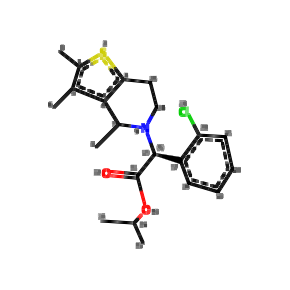 Cc1sc2c(c1C)C(C)N([C@H](C(=O)OC(C)C)c1ccccc1Cl)CC2